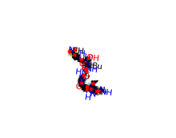 Cc1ncsc1-c1ccc(CNC(=O)[C@@H]2C[C@@H](O)CN2C(=O)[C@@H](NC(=O)CNC(=O)CN2CCN(C(=O)c3ccc(Nc4nc(C5CC5)cn5c(-c6cn[nH]c6)cnc45)c(F)c3)CC2)C(C)(C)C)cc1